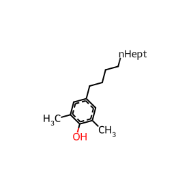 CCCCCCCCCCCc1cc(C)c(O)c(C)c1